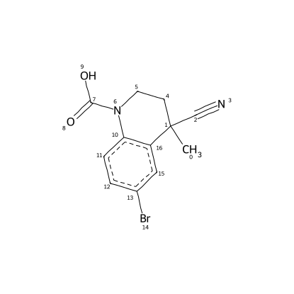 CC1(C#N)CCN(C(=O)O)c2ccc(Br)cc21